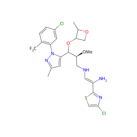 CO[C@@H](CN/C=C(\N)c1nc(Cl)cs1)C(OC1COC1C)c1cc(C)nn1-c1cc(Cl)ccc1C(F)(F)F